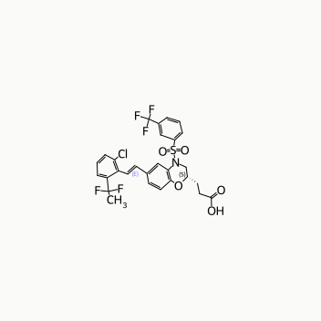 CC(F)(F)c1cccc(Cl)c1/C=C/c1ccc2c(c1)N(S(=O)(=O)c1cccc(C(F)(F)F)c1)C[C@H](CCC(=O)O)O2